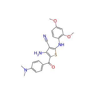 COc1ccc(Nc2sc(C(=O)c3ccc(N(C)C)cc3)c(N)c2C#N)c(OC)c1